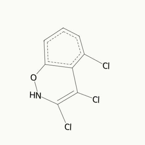 ClC1=C(Cl)c2c(Cl)cccc2ON1